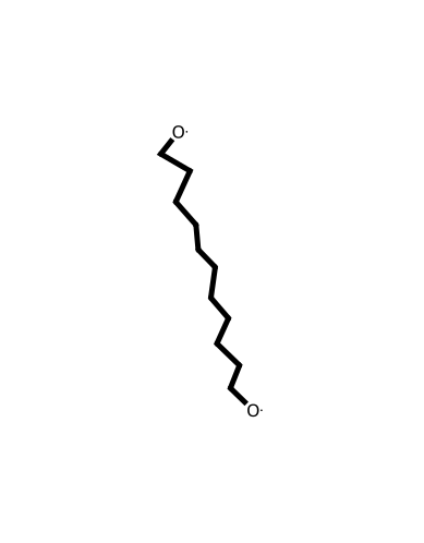 [O]CCCCCCCCCCC[O]